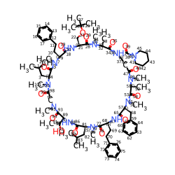 CC(C)C[C@H]1C(=O)N(C)[C@@H](CCc2ccccc2)C(=O)N[C@@H](COC(C)(C)C)C(=O)N(C)[C@@H](C)C(=O)N[C@H](C(=O)N2CCCCC2)CC(=O)N(C)[C@@H](C)C(=O)N(C)[C@@H](Cc2ccccc2)C(=O)N[C@@H](CCc2ccccc2)C(=O)N(C)[C@@H](CC(C)C)C(=O)N[C@@H]([C@@H](C)O)C(=O)N(C)CC(=O)N1C